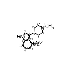 Br.CN1CCC(c2c[nH]c3cccc(Cl)c23)CC1